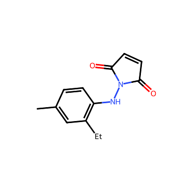 CCc1cc(C)ccc1NN1C(=O)C=CC1=O